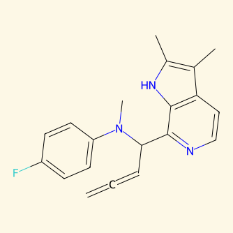 C=C=CC(c1nccc2c(C)c(C)[nH]c12)N(C)c1ccc(F)cc1